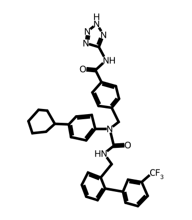 O=C(Nc1nn[nH]n1)c1ccc(CN(C(=O)NCc2ccccc2-c2cccc(C(F)(F)F)c2)c2ccc(C3CCCCC3)cc2)cc1